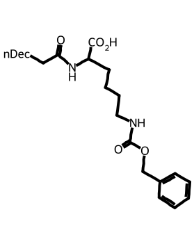 CCCCCCCCCCCC(=O)NC(CCCCNC(=O)OCc1ccccc1)C(=O)O